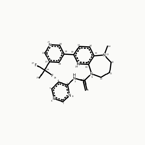 C=C(Nc1ccncn1)N1CCCN(C)c2ccc(-c3cncc(C(C)(F)F)c3)nc21